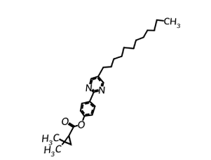 CCCCCCCCCCCCc1cnc(-c2ccc(OC(=O)C3CC3(C)C)cc2)nc1